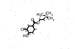 CS(C)(C)CCOC(=O)C1CCC(O)C(Cl)C1